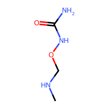 CNCONC(N)=O